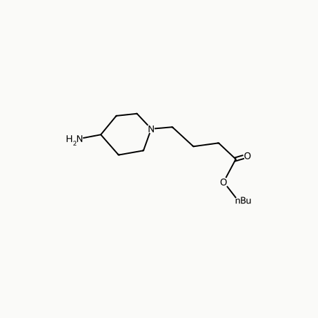 CCCCOC(=O)CCCN1CCC(N)CC1